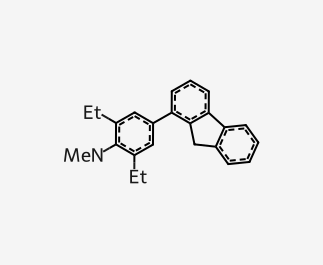 CCc1cc(-c2cccc3c2Cc2ccccc2-3)cc(CC)c1NC